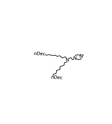 CCCCCCCCCCCCCCCCCCN(CCCCCCCCCCCCCCCCCC)CCN1CCN(C)CC1